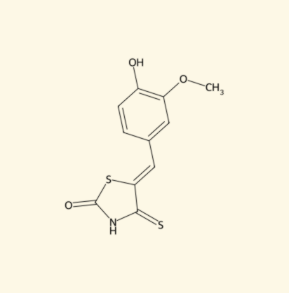 COc1cc(/C=C2\SC(=O)NC2=S)ccc1O